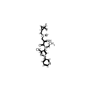 CCN(C(=O)C(=N)C[S+]([O-])CC1CC1(F)F)c1cn(-c2cccnc2)nc1Cl